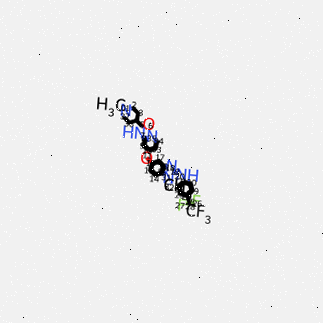 CN1CCC(C(=O)Nc2cc(Oc3ccc4c(c3)nc(Nc3ccc(C(F)(F)C(F)(F)F)cc3)n4C)ccn2)CC1